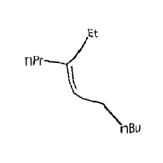 CCCCC/C=C(\CC)CCC